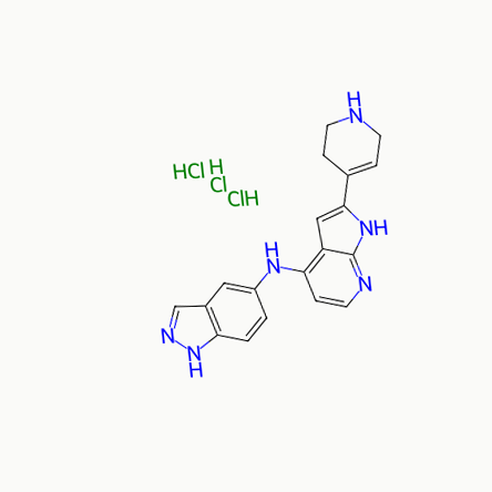 C1=C(c2cc3c(Nc4ccc5[nH]ncc5c4)ccnc3[nH]2)CCNC1.Cl.Cl.Cl